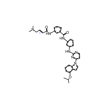 CC(C)Oc1cccc2c1ccn2-c1ccnc(Nc2cccc(NC(=O)c3cccc(NC(=O)/C=C/CN(C)C)c3)c2)n1